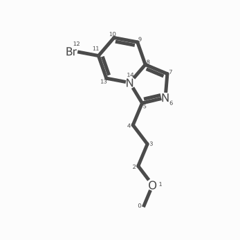 COCCCc1ncc2ccc(Br)cn12